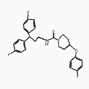 O=C(NCCC(c1ccc(F)cc1)c1ccc(F)cc1)N1CCC(Oc2ccc(F)cc2)CC1